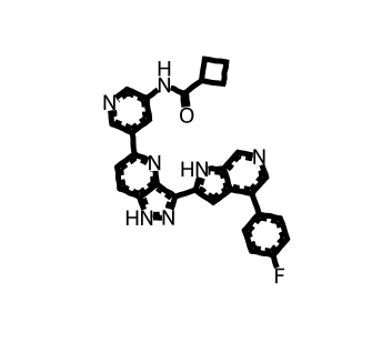 O=C(Nc1cncc(-c2ccc3[nH]nc(-c4cc5c(-c6ccc(F)cc6)cncc5[nH]4)c3n2)c1)C1CCC1